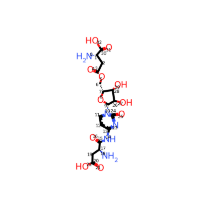 N[C@@H](CC(=O)OC[C@H]1O[C@@H](n2ccc(NC(=O)[C@@H](N)CC(=O)O)nc2=O)C(O)C1O)C(=O)O